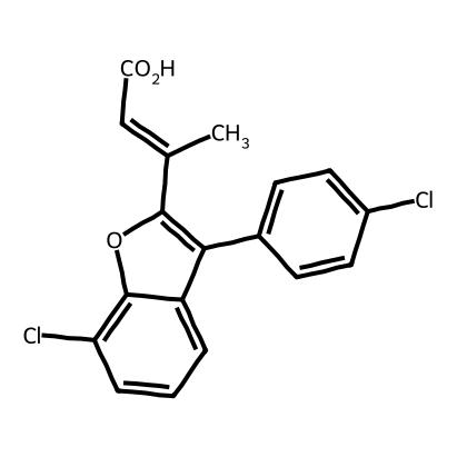 CC(=CC(=O)O)c1oc2c(Cl)cccc2c1-c1ccc(Cl)cc1